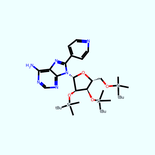 CC(C)(C)[Si](C)(C)OC[C@H]1O[C@@H](n2c(-c3ccncc3)nc3c(N)ncnc32)[C@H](O[Si](C)(C)C(C)(C)C)[C@@H]1O[Si](C)(C)C(C)(C)C